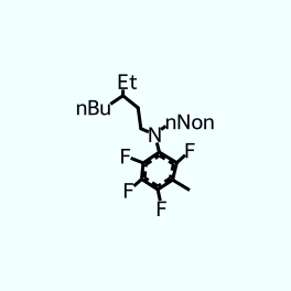 CCCCCCCCCN(CCC(CC)CCCC)c1c(F)c(C)c(F)c(F)c1F